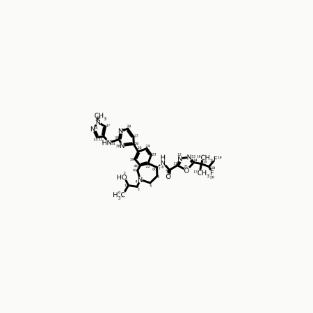 CC(O)CN1CC[C@@H](NC(=O)c2nnc(C(C)(C)C(F)F)o2)c2ccc(-c3ccnc(Nc4cnn(C)c4)n3)cc2C1